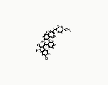 CN1CCN(CC(=O)Nc2ccc(N/C(=C3\C(=O)Nc4cc(Cl)ccc43)c3ccccc3)cc2O)CC1